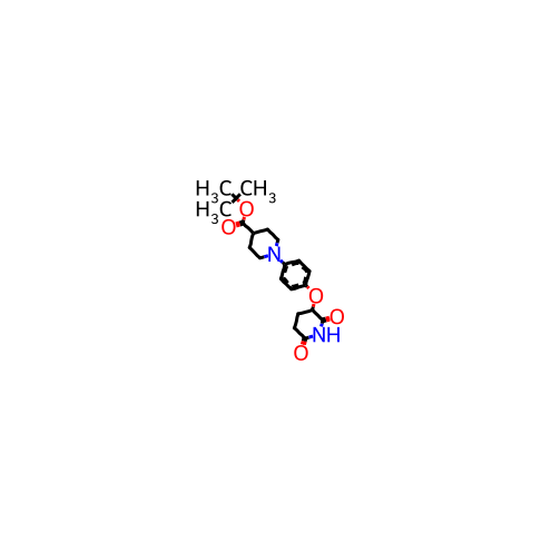 CC(C)(C)OC(=O)C1CCN(c2ccc(OC3CCC(=O)NC3=O)cc2)CC1